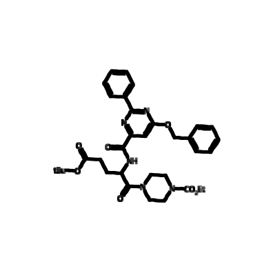 CCOC(=O)N1CCN(C(=O)C(CCC(=O)OC(C)(C)C)NC(=O)c2cc(OCc3ccccc3)nc(-c3ccccc3)n2)CC1